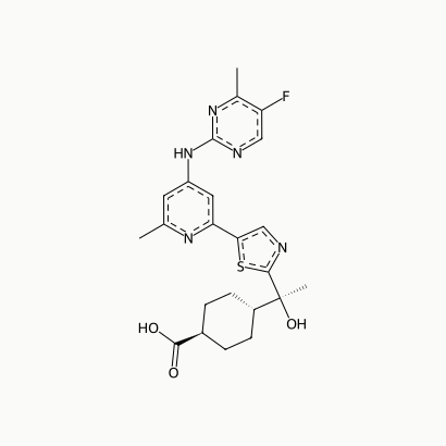 Cc1cc(Nc2ncc(F)c(C)n2)cc(-c2cnc([C@@](C)(O)[C@H]3CC[C@H](C(=O)O)CC3)s2)n1